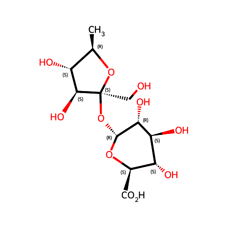 C[C@H]1O[C@@](CO)(O[C@H]2O[C@H](C(=O)O)[C@@H](O)[C@H](O)[C@H]2O)[C@@H](O)[C@@H]1O